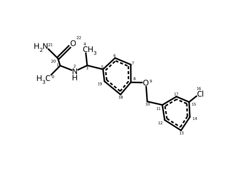 CC(NC(C)c1ccc(OCc2cccc(Cl)c2)cc1)C(N)=O